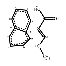 COC=CC(=O)O.c1ccc2ccccc2c1